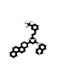 Cc1cc(C2CCc3c(ccc4c3ccc3ccccc34)C2)nc(/C=C/c2cccc(C(F)(F)F)c2)n1.c1ccc2cnccc2c1